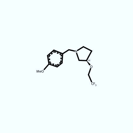 COc1ccc(CN2CC[C@@H](OCC(F)(F)F)C2)cc1